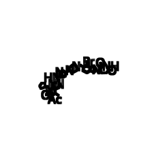 CC(=O)c1c(C)c2cnc(Nc3ccc(N4CCN(Cc5ccc6c(c5Br)CN(C5CCC(=O)NC5=O)C6)CC4)cn3)nc2n(C2CCCC2)c1=O